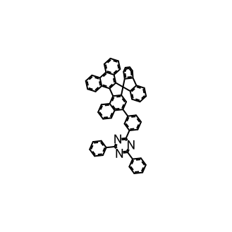 c1ccc(-c2nc(-c3ccccc3)nc(-c3cccc(-c4cc5c(c6ccccc46)-c4c(c6ccccc6c6ccccc46)C54c5ccccc5-c5ccccc54)c3)n2)cc1